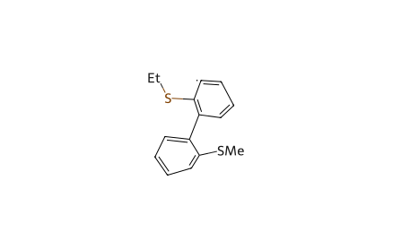 CCSc1[c]cccc1-c1ccccc1SC